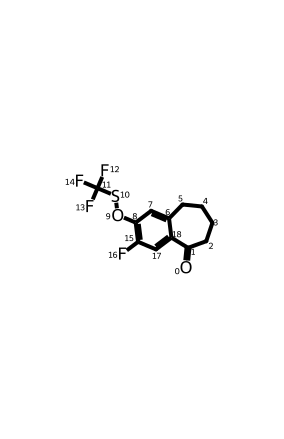 O=C1CCCCc2cc(OSC(F)(F)F)c(F)cc21